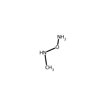 CNON